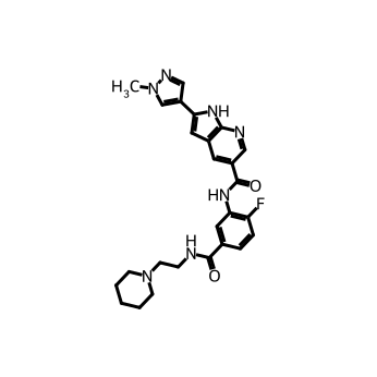 Cn1cc(-c2cc3cc(C(=O)Nc4cc(C(=O)NCCN5CCCCC5)ccc4F)cnc3[nH]2)cn1